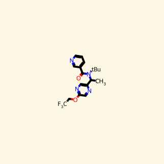 CC(c1cnc(OCC(F)(F)F)cn1)N(C(=O)c1cccnc1)C(C)(C)C